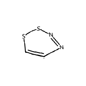 [C]1=CSSN=N1